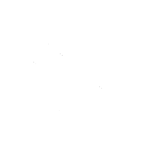 CC(=O)c1cnc2ccc(-c3cc(Cl)c(C)c(Cl)c3)cc2c1Nc1ccc(CCN(C)C)cc1